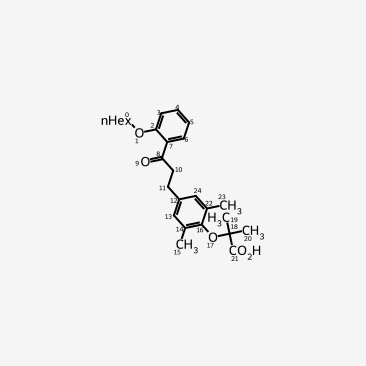 CCCCCCOc1ccccc1C(=O)CCc1cc(C)c(OC(C)(C)C(=O)O)c(C)c1